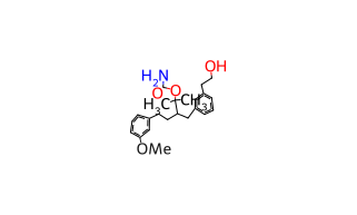 COc1cccc(CCC(Cc2cccc(CCO)c2)C(C)(C)OC(N)=O)c1